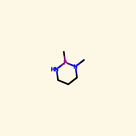 CN1CCCNP1C